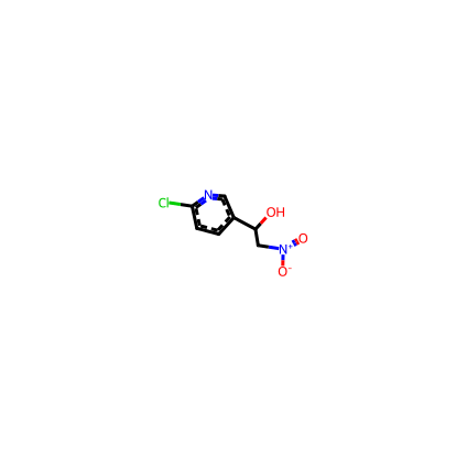 O=[N+]([O-])CC(O)c1ccc(Cl)nc1